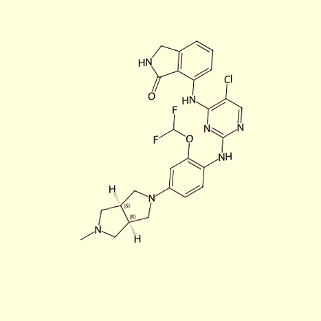 CN1C[C@@H]2CN(c3ccc(Nc4ncc(Cl)c(Nc5cccc6c5C(=O)NC6)n4)c(OC(F)F)c3)C[C@@H]2C1